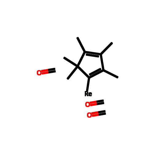 C=O.C=O.C=O.CC1=C(C)C(C)(C)[C]([Re])=C1C